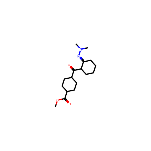 COC(=O)C1CCC(C(=O)C2CCCCC2=NN(C)C)CC1